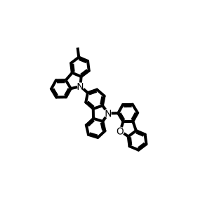 Cc1ccc2c(c1)c1ccccc1n2-c1ccc2c(c1)c1ccccc1n2-c1cccc2c1oc1ccccc12